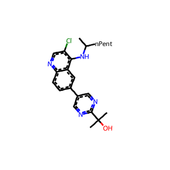 CCCCCC(C)Nc1c(Cl)cnc2ccc(-c3cnc(C(C)(C)O)nc3)cc12